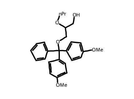 CCCOC(CO)COC(c1ccccc1)(c1ccc(OC)cc1)c1ccc(OC)cc1